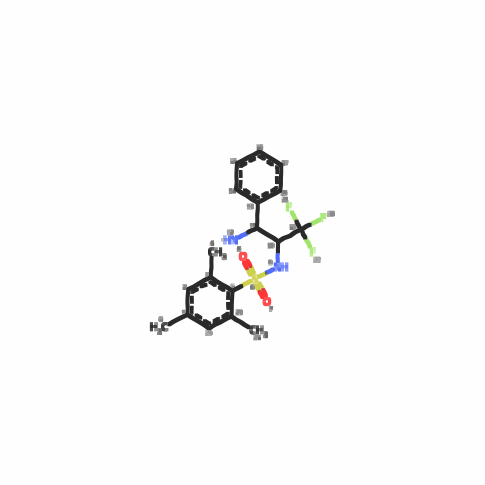 Cc1cc(C)c(S(=O)(=O)NC(C([NH])c2ccccc2)C(F)(F)F)c(C)c1